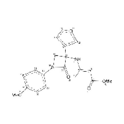 COC(=O)C=C(C)NC1(c2ccoc2)CN(c2ccc(OC)cc2)C1=O